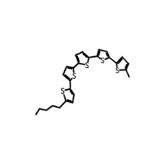 CCCCCc1ccc(-c2ccc(-c3ccc(-c4ccc(-c5ccc(C)s5)s4)s3)s2)s1